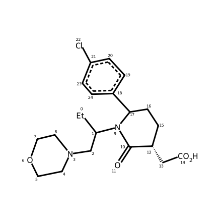 CCC(CN1CCOCC1)N1C(=O)[C@@H](CC(=O)O)CCC1c1ccc(Cl)cc1